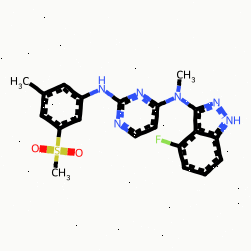 Cc1cc(Nc2nccc(N(C)c3n[nH]c4cccc(F)c34)n2)cc(S(C)(=O)=O)c1